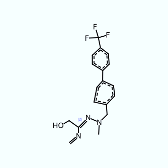 C=N/C(CO)=N\N(C)Cc1ccc(-c2ccc(C(F)(F)F)cc2)cc1